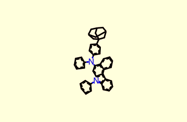 c1ccc(N(c2ccc(C34CC5CC(CC(C5)C3)C4)cc2)c2cc3c(c4ccccc24)c2ccccc2n3-c2ccccc2)cc1